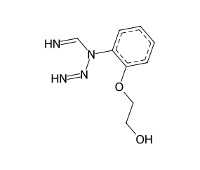 N=CN(N=N)c1ccccc1OCCO